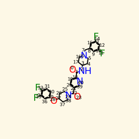 O=C(NC1CCN(Cc2cc(F)cc(F)c2)CC1)c1ccc(C(=O)N2CCC(Oc3ccc(F)c(F)c3)CC2)cn1